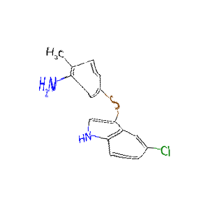 Cc1ccc(Sc2c[nH]c3ccc(Cl)cc23)cc1N